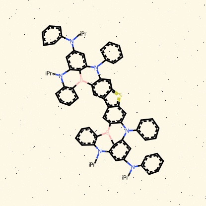 CC(C)N(c1ccccc1)c1cc2c3c(c1)N(C(C)C)c1ccccc1B3c1cc3c(cc1N2c1ccccc1)sc1cc2c(cc13)B1c3ccccc3N(C(C)C)c3cc(N(c4ccccc4)C(C)C)cc(c31)N2c1ccccc1